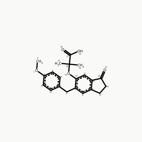 COc1ccc(Cc2cc3c(cc2OC(C)(C)C(=O)O)C(=O)CC3)cc1